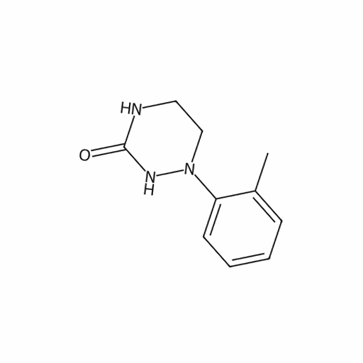 Cc1ccccc1N1CCNC(=O)N1